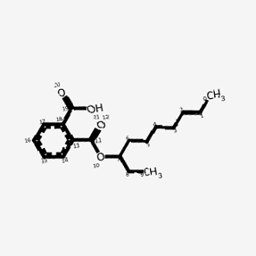 CCCCCCCC(CC)OC(=O)c1ccccc1C(=O)O